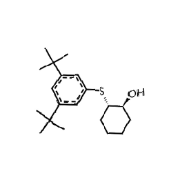 CC(C)(C)c1cc(S[C@H]2CCCC[C@@H]2O)cc(C(C)(C)C)c1